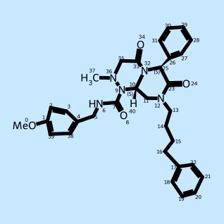 COc1ccc(CNC(=O)N2[C@H]3CN(CCCCc4ccccc4)C(=O)[C@H](c4ccccc4)N3C(=O)CN2C)cc1